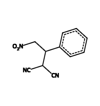 N#CC(C#N)C(C[N+](=O)[O-])c1ccccc1